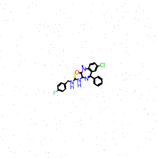 CN1C(=O)C(NC(=S)NCc2ccc(F)cc2)N=C(c2ccccc2)c2cc(Cl)ccc21